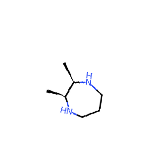 C[C@@H]1NCCCN[C@@H]1C